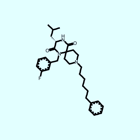 CC(C)C[C@@H]1NC(=O)C2(CCN(CCCCCCc3ccccc3)CC2)N(Cc2cccc(F)c2)C1=O